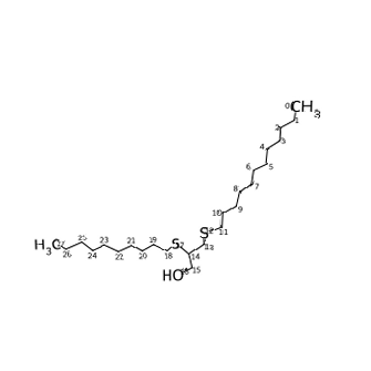 CCCCCCCCCCCCSCC(CO)SCCCCCCCCCC